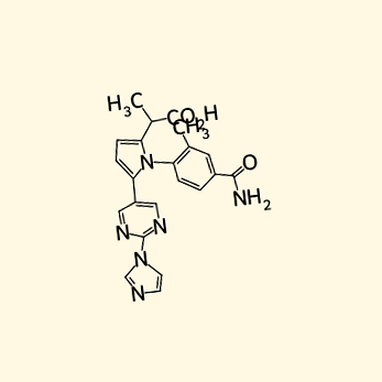 Cc1cc(C(N)=O)ccc1-n1c(-c2cnc(-n3ccnc3)nc2)ccc1C(C)C(=O)O